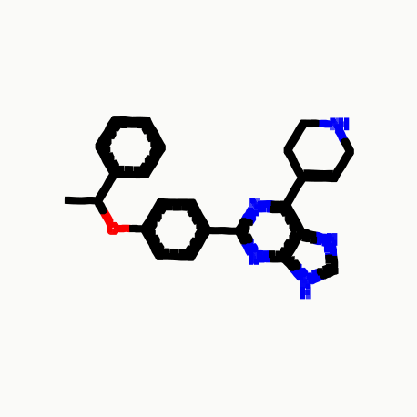 CC(Oc1ccc(-c2nc(C3=CCNCC3)c3nc[nH]c3n2)cc1)c1ccccc1